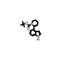 CC(C)(C)OC(=O)N1CCCC=C1c1cccc2[nH]ccc12